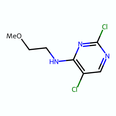 COCCNc1nc(Cl)ncc1Cl